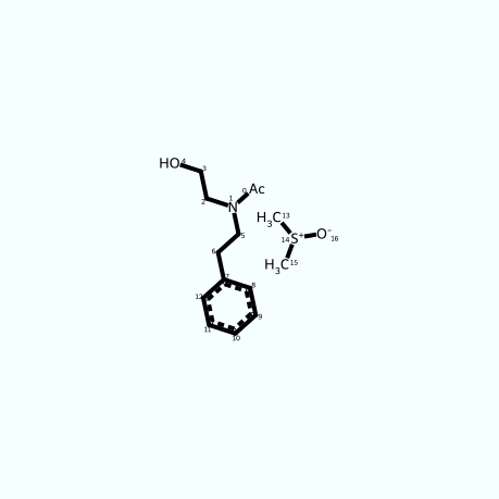 CC(=O)N(CCO)CCc1ccccc1.C[S+](C)[O-]